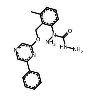 Cc1cccc(N(N)C(=O)NN)c1COc1cncc(-c2ccccc2)n1